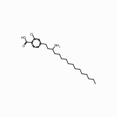 CCCCCCCCCCCCCC(N)CCc1ccc(C(=O)O)c(Cl)c1